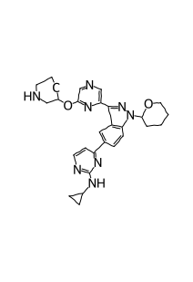 c1cc(-c2ccc3c(c2)c(-c2cncc(OC4CCCNC4)n2)nn3C2CCCCO2)nc(NC2CC2)n1